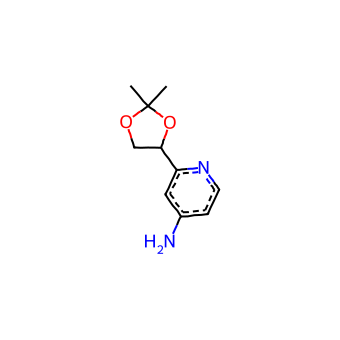 CC1(C)OCC(c2cc(N)ccn2)O1